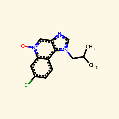 CC(C)Cn1cnc2c[n+]([O-])c3cc(Cl)ccc3c21